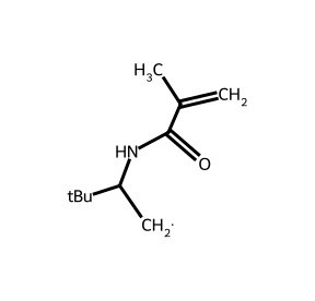 [CH2]C(NC(=O)C(=C)C)C(C)(C)C